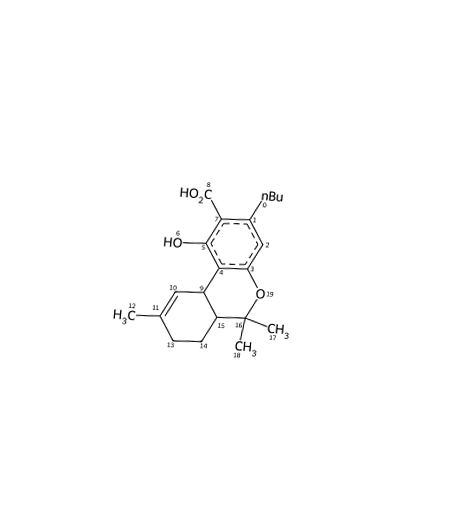 CCCCc1cc2c(c(O)c1C(=O)O)C1C=C(C)CCC1C(C)(C)O2